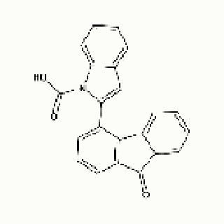 O=C1c2ccccc2-c2c1cccc2-c1cc2ccccc2n1C(=O)O